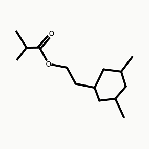 CC1CC(C)CC(CCOC(=O)C(C)C)C1